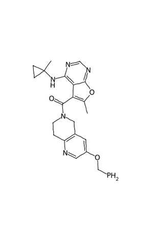 Cc1oc2ncnc(NC3(C)CC3)c2c1C(=O)N1CCc2ncc(OCP)cc2C1